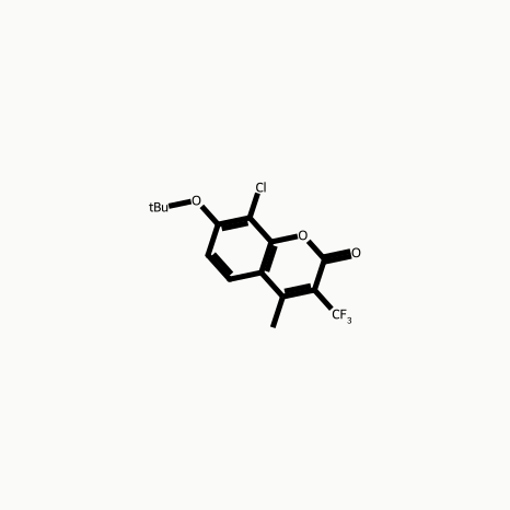 Cc1c(C(F)(F)F)c(=O)oc2c(Cl)c(OC(C)(C)C)ccc12